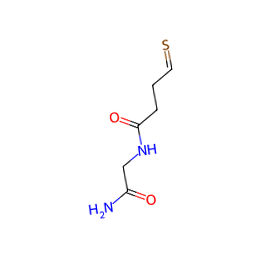 NC(=O)CNC(=O)CCC=S